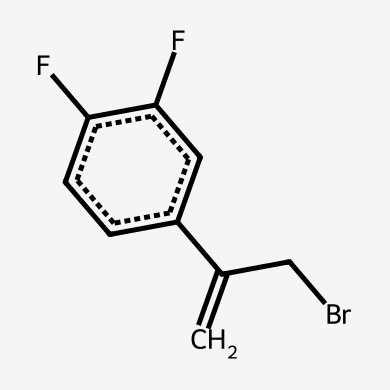 C=C(CBr)c1ccc(F)c(F)c1